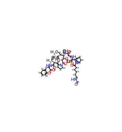 CCC(C)C(C(CC(=O)N1CCCC1C(OC)C(C)C(=O)N[C@@H](Cc1ccccc1)C(=O)O)OC)N(C)C(=O)CNC(=O)C1C2CCC(C2)N1C(=O)CCCCCNC=O